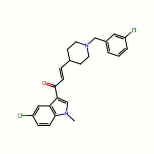 Cn1cc(C(=O)/C=C/C2CCN(Cc3cccc(Cl)c3)CC2)c2cc(Cl)ccc21